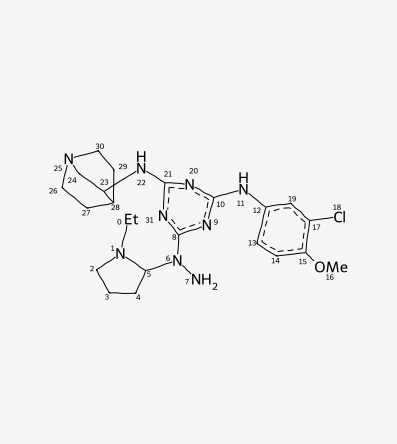 CCN1CCCC1N(N)c1nc(Nc2ccc(OC)c(Cl)c2)nc(NC2CN3CCC2CC3)n1